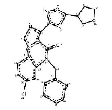 O=c1c2c(-c3noc(C4CCOC4)n3)ncn2c2ccc(Cl)cc2n1Cc1ccccn1